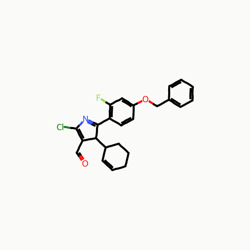 O=CC1=C(Cl)N=C(c2ccc(OCc3ccccc3)cc2F)C1C1C=CCCC1